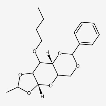 CCCCOC1C2OC(C)O[C@H]2OC2COC(c3ccccc3)O[C@H]21